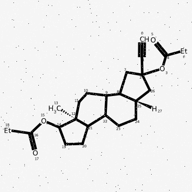 C#CC1(OC(=O)CC)CC2C3CC[C@]4(C)C(OC(=O)CC)CCC4C3CC[C@H]2C1